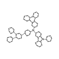 c1ccc(-c2ccc(-c3ccc(N(c4ccc5c6ccccc6c6ccccc6c5c4)c4ccc5c(c4)c4ccccc4n5-c4ccccc4)cc3)cc2-c2ccccc2)cc1